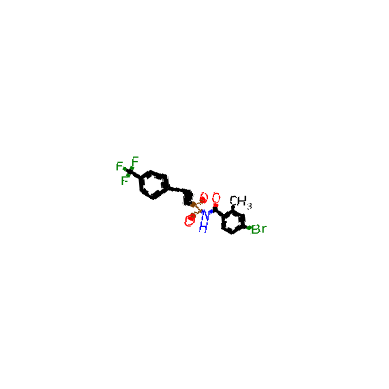 Cc1cc(Br)ccc1C(=O)NS(=O)(=O)C=Cc1ccc(C(F)(F)F)cc1